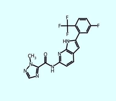 Cn1ncnc1C(=O)Nc1ccc2cc(-c3cc(F)ccc3C(F)(F)F)[nH]c2n1